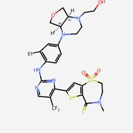 CCc1cc(N2CCN(CCO)[C@@H]3COC[C@@H]32)ccc1Nc1ncc(C(F)(F)F)c(-c2cc3c(s2)C(=S)N(C)CCS3(=O)=O)n1